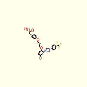 O=C(O)Cc1ccc(OCCCOc2ccc(Cl)cc2N2CCN(c3ccc(C(F)(F)F)cc3)CC2)cc1